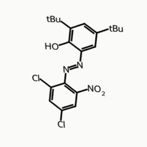 CC(C)(C)c1cc(N=Nc2c(Cl)cc(Cl)cc2[N+](=O)[O-])c(O)c(C(C)(C)C)c1